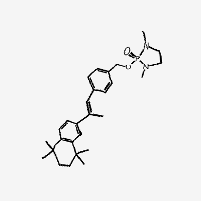 CC(=Cc1ccc(COP2(=O)N(C)CCN2C)cc1)c1ccc2c(c1)C(C)(C)CCC2(C)C